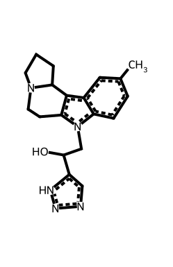 Cc1ccc2c(c1)c1c(n2CC(O)c2cnn[nH]2)CCN2CCCC12